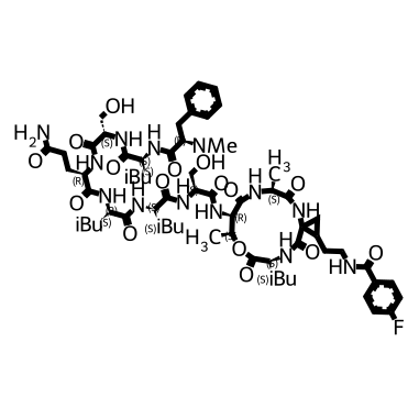 CC[C@H](C)[C@H](NC(=O)[C@@H](Cc1ccccc1)NC)C(=O)N[C@@H](CO)C(=O)N[C@H](CCC(N)=O)C(=O)N[C@@H](C(=O)N[C@H](C(=O)N[C@@H](CO)C(=O)N[C@H]1C(=O)N[C@@H](C)C(=O)NC2(CC2CCNC(=O)c2ccc(F)cc2)C(=O)N[C@@H]([C@@H](C)CC)C(=O)O[C@H]1C)[C@@H](C)CC)[C@@H](C)CC